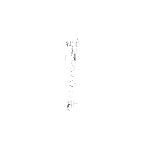 CC(=O)N1c2ccc(-c3ccc(C(=O)NCCOCCOCCOCCOCCOCCOCCOCCOCCNC(=O)OC(C)(C)C)cc3)cc2[C@H](Nc2ccc(Cl)cc2)C[C@@H]1C